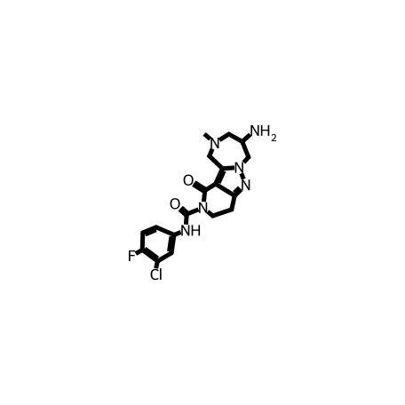 CN1Cc2c3c(nn2CC(N)C1)CCN(C(=O)Nc1ccc(F)c(Cl)c1)C3=O